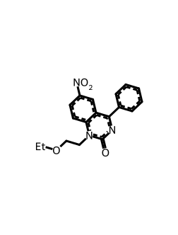 CCOCCn1c(=O)nc(-c2ccccc2)c2cc([N+](=O)[O-])ccc21